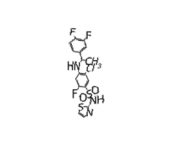 CC(Nc1cc(F)c(S(=O)(=O)Nc2nccs2)cc1Cl)c1ccc(F)c(F)c1